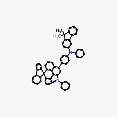 CC1(C)c2ccccc2-c2cc(N(c3ccccc3)c3ccc(-c4cc5c6c7c(cccc47)C4(c7ccccc7-c7ccccc74)c4cccc(c46)n5-c4ccccc4)cc3)ccc21